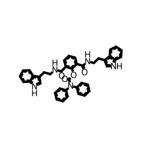 O=C(NCCc1c[nH]c2ccccc12)c1cccc(C(=O)NCCc2c[nH]c3ccccc23)c1OC(=O)N(c1ccccc1)c1ccccc1